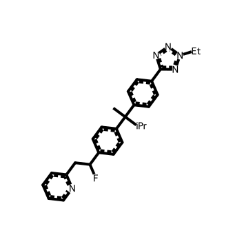 CCn1nnc(-c2ccc(C(C)(c3ccc(C(F)Cc4ccccn4)cc3)C(C)C)cc2)n1